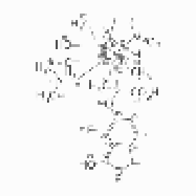 C[C@@H]1CC[C@@]23CCC(=O)[C@H]2[C@@]1(C)[C@H](C(Oc1ccc2c(c1F)B(O)OC2)C(=O)O)C[C@@](C)(CN(C)C)[C@@H](O)[C@@H]3C